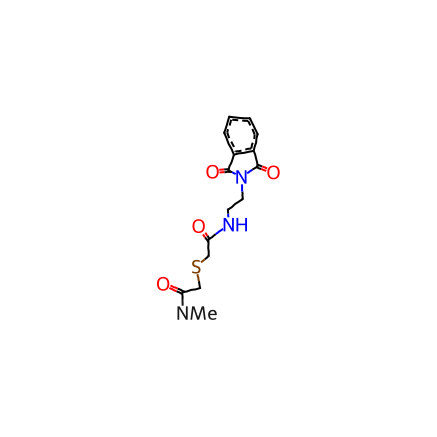 CNC(=O)CSCC(=O)NCCN1C(=O)c2ccccc2C1=O